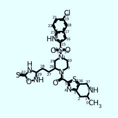 CC1Cc2nc(C(=O)N3CCN(S(=O)(=O)c4cc5cc(Cl)ccc5[nH]4)CC3CCC3NOC(=S)N3)sc2CN1